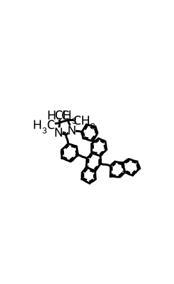 CC1(C)N=C(c2cccc(-c3c4ccccc4c(-c4ccc5ccccc5c4)c4ccccc34)c2)N(c2ccccc2)C1(C)C